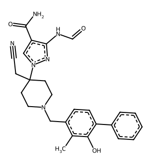 Cc1c(CN2CCC(CC#N)(n3cc(C(N)=O)c(NC=O)n3)CC2)ccc(-c2ccccc2)c1O